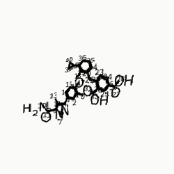 Cc1cc(-c2nn(C)c(C(N)=O)c2C)ccc1OCc1c(Cc2ccc(C(=O)O)cc2C(=O)O)cccc1C1CC1